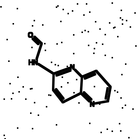 O=CNc1ccc2ncccc2n1